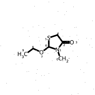 [CH2]N1C(=O)CSC1OCC